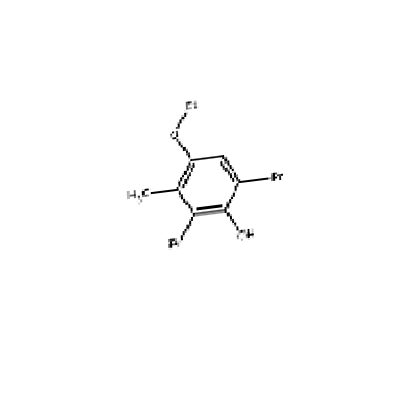 CCOc1cc(C(C)C)c(O)c(C(C)C)c1C